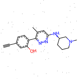 C#Cc1ccc(-c2nnc(N[C@@H]3CCCN(C)C3)cc2C)c(O)c1